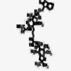 C=CCC(C)(NC(=O)OCC1c2ccccc2-c2ccccc21)C(=O)NC(CCCNC(=N)NS(=O)(=O)c1c(C)c(C)c2c(c1C)CC(C)(C)O2)C(=O)NC(CC)C(=O)O